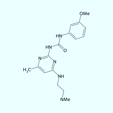 CNCCNc1cc(C)nc(NC(=O)Nc2cccc(OC)c2)n1